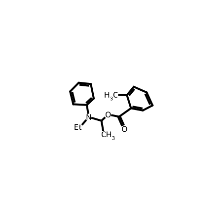 CCN(c1ccccc1)C(C)OC(=O)c1ccccc1C